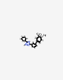 Cn1nc(-c2cccc(-c3cccc(C(=O)O)c3)c2)nc1-c1ccccc1